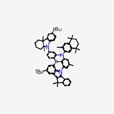 Cc1cc2c3c(c1)-n1c4c(c5cc(C(C)(C)C)cc(c51)B3c1ccc(N3c5ccc(C(C)(C)C)cc5C5(C)CCCCC35C)cc1N2c1cc2c(cc1C)C(C)(C)CCC2(C)C)C(C)(C)c1ccccc1-4